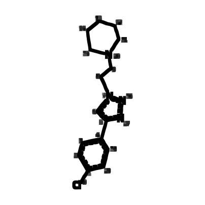 Clc1ccc(-c2cn(CCN3CCCCC3)nn2)cc1